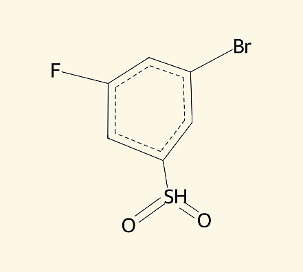 O=[SH](=O)c1cc(F)cc(Br)c1